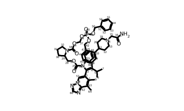 Cc1c(-c2c(C(C)C)c3cc(C4CCN(CC(N)=O)CC4)ccc3n2C(=O)OCC2CCCN2C(=O)OCOP(=O)(OCc2ccccc2)OCc2ccccc2)cn2ncnc2c1C